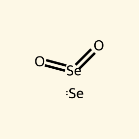 O=[Se]=O.[Se]